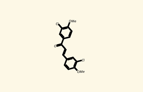 COc1ccc(/C=C/C(=O)c2ccc(OC)c(Cl)c2)cc1Cl